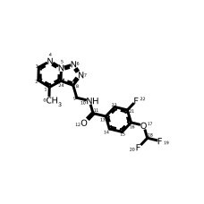 Cc1ccnn2nnc(CNC(=O)c3ccc(OC(F)F)c(F)c3)c12